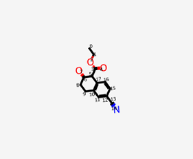 CCOC(=O)C1C(=O)CCc2cc(C#N)ccc21